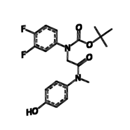 CN(C(=O)CN(C(=O)OC(C)(C)C)c1ccc(F)c(F)c1)c1ccc(O)cc1